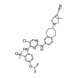 CC12CN(C3CCc4ccc(Nc5ncc(Cl)c(Nc6ccc(OC(F)F)cc6P(C)(C)=O)n5)cc4CC3)CC1=C2C#N